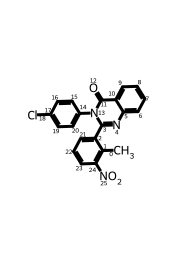 Cc1c(-c2nc3ccccc3c(=O)n2-c2ccc(Cl)cc2)cccc1[N+](=O)[O-]